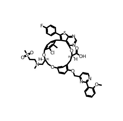 COc1ccccc1-c1nccc(COc2ccc3cc2C[C@H](C(=O)O)Oc2ncnc4sc(-c5ccc(F)cc5)c(c24)-c2ccc(c(Cl)c2C)O[C@H](CN(C)CCS(C)(=O)=O)CO3)n1